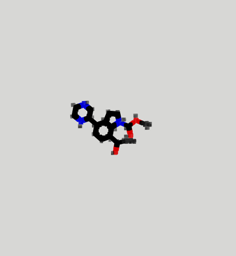 COC(=O)c1ccc(-c2cnccn2)c2ccn(C(=O)OC(C)(C)C)c12